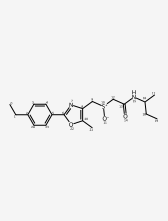 CCc1ccc(-c2nc(C[S+]([O-])CC(=O)NC(C)CC)c(C)o2)cc1